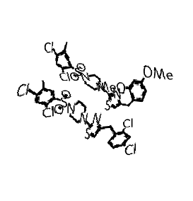 COc1ccc(Cc2csc(N3CCN(S(=O)(=O)c4cc(C)c(Cl)cc4Cl)CC3)n2)c(OC)c1.Cc1cc(S(=O)(=O)N2CCN(c3nc(Cc4ccc(Cl)cc4Cl)cs3)CC2)c(Cl)cc1Cl